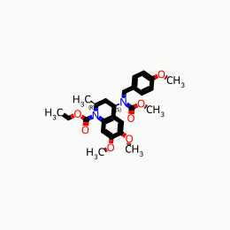 CCOC(=O)N1c2cc(OC)c(OC)cc2[C@@H](N(Cc2ccc(OC)cc2)C(=O)OC)C[C@H]1C